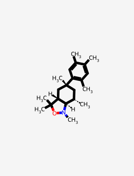 Cc1cc(C)c([C@@]2(C)C[C@@H]3[C@@H]([C@@H](C)C2)N(C)OC3(C)C)cc1C